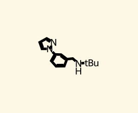 CC(C)(C)NCc1cccc(-n2cccn2)c1